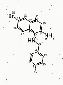 [CH2]c1ccc(CNc2c(N)cnc3cc(Br)ccc23)cc1